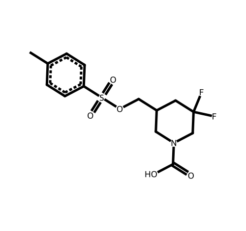 Cc1ccc(S(=O)(=O)OCC2CN(C(=O)O)CC(F)(F)C2)cc1